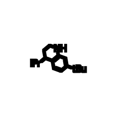 CC(C)C1CCNc2cc(C(C)(C)C)ccc21